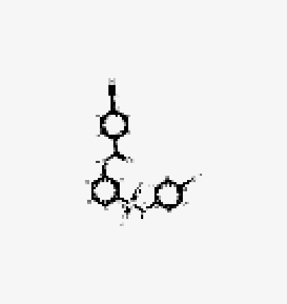 N#Cc1ccc(C(=O)Nc2cccc(S(=O)(=O)Nc3ccc(Br)cc3)c2)cc1